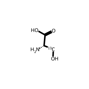 N[C@@H]([13CH2]O)C(=O)O